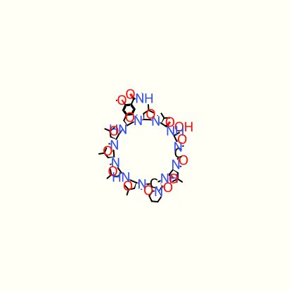 CNC(=O)c1ccc(C[C@@H]2NC(=O)[C@H](CC(C)C)N(C)C(=O)[C@H](CC(C)C)N(C)C(=O)[C@H](CC(C)C)NC(=O)[C@H](CC(C)C)N(C)C(=O)C[C@@H](C(=O)N3CCCCC3)NC(=O)[C@H](CC(C)C)N(C)C(=O)CN(C)C(=O)[C@H]([C@@H](C)O)NC(=O)[C@H](C(C)C)N(C)C(=O)[C@H](CC(C)C)N(C)C2=O)cc1OC